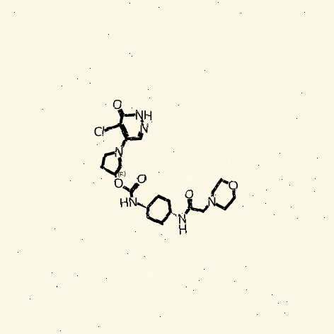 O=C(CN1CCOCC1)N[C@H]1CC[C@H](NC(=O)O[C@@H]2CCN(c3cn[nH]c(=O)c3Cl)C2)CC1